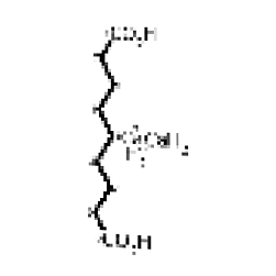 O=C(O)CCCCCCCC(=O)O.[CaH2].[CaH2]